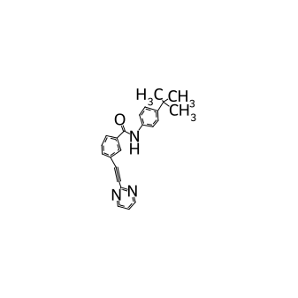 CC(C)(C)c1ccc(NC(=O)c2cccc(C#Cc3ncccn3)c2)cc1